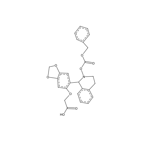 O=C(O)COc1cc2c(cc1C1c3ccccc3CCN1OC(=O)OCc1ccccc1)OCO2